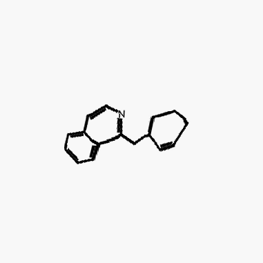 C1=CC(Cc2nccc3ccccc23)CCC1